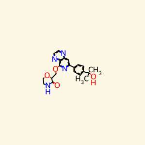 CC(C)(O)c1ccc(-c2cc3nccnc3c(OCC3OCCNC3=O)n2)cc1